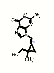 [CH2]C1(CO)C/C1=C/n1cnc2c(=O)[nH]c(N)nc21